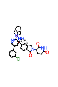 O=C1CCC(N2Cc3cc(CNCC4C5CCC4CN(c4ncc(-c6cccc(Cl)c6)cc4C(F)(F)F)C5)ccc3C2=O)C(=O)N1